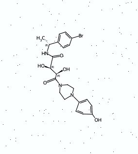 C[C@@H](NC(=O)[C@H](O)[C@@H](O)C(=O)N1CCN(c2ccc(O)cc2)CC1)c1ccc(Br)cc1